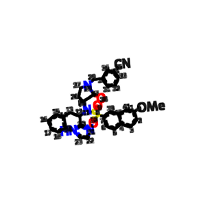 COc1ccc2ccc(S(=O)(=O)N(C(Cc3ccccc3)c3ncc[nH]3)[C@H]3CCN(Cc4cccc(C#N)c4)C3=O)cc2c1